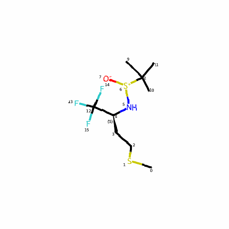 CSCC[C@H](N[S+]([O-])C(C)(C)C)C(F)(F)F